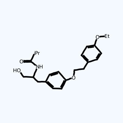 CCOc1ccc(CCOc2ccc(CC(CO)NC(=O)C(C)C)cc2)cc1